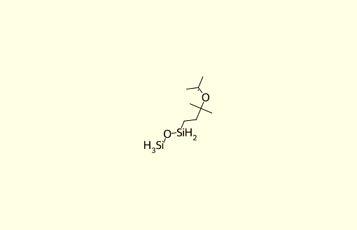 C[C](C)OC(C)(C)CC[SiH2]O[SiH3]